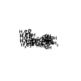 C=C(C)C(=O)O.C=C(C)C(=O)O.C=C(C)C(=O)O.C=C(C)C(=O)O.CC(CCC(O)C(CO)C(=O)ON)CC(C)(C)CC(O)C(CO)C(=O)ON